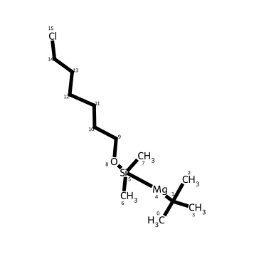 C[C](C)(C)[Mg][Si](C)(C)OCCCCCCCl